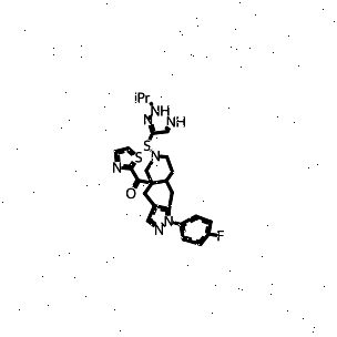 CC(C)N/N=C(\C=N)SN1CCC2Cc3c(cnn3-c3ccc(F)cc3)CC2(C(=O)c2nccs2)C1